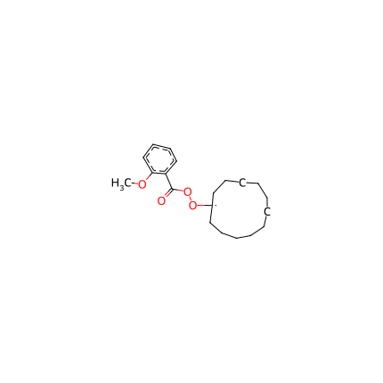 COc1ccccc1C(=O)OO[C]1CCCCCCCCCCC1